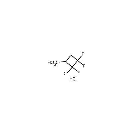 Cl.O=C(O)C1CC(F)(F)C1(F)Cl